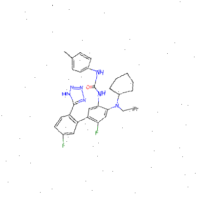 Cc1ccc(NC(=O)Nc2cc(-c3cc(F)ccc3-c3nnn[nH]3)c(F)cc2N(CC(C)C)C2CCCCC2)cc1